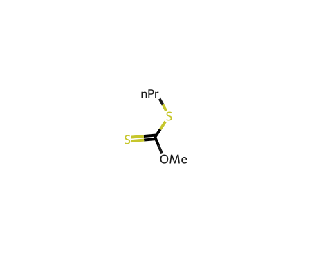 CCCSC(=S)OC